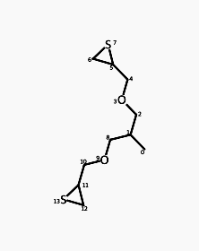 CC(COCC1CS1)COCC1CS1